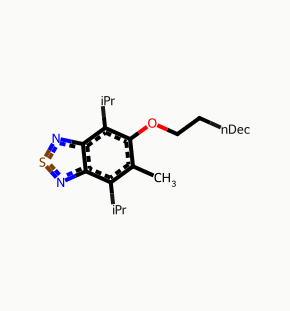 CCCCCCCCCCCCOc1c(C)c(C(C)C)c2nsnc2c1C(C)C